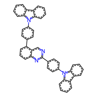 c1cc(-c2ccc(-n3c4ccccc4c4ccccc43)cc2)c2cnc(-c3ccc(-n4c5ccccc5c5ccccc54)cc3)nc2c1